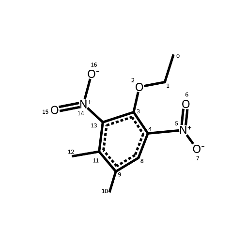 CCOc1c([N+](=O)[O-])cc(C)c(C)c1[N+](=O)[O-]